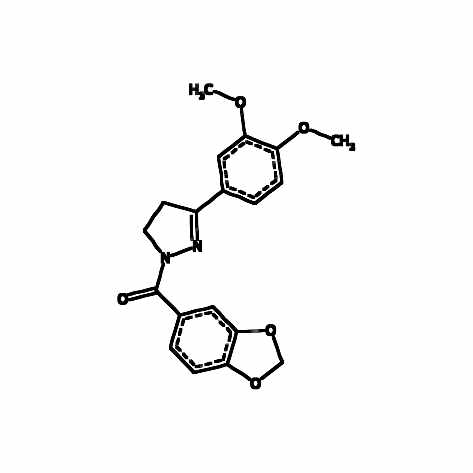 COc1ccc(C2=NN(C(=O)c3ccc4c(c3)OCO4)CC2)cc1OC